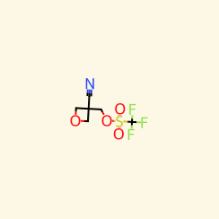 N#CC1(COS(=O)(=O)C(F)(F)F)COC1